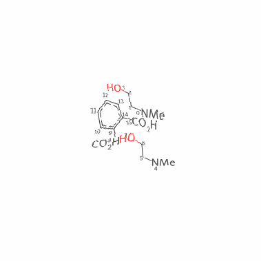 CNCCO.CNCCO.O=C(O)c1ccccc1C(=O)O